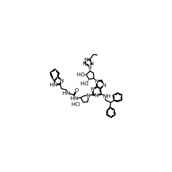 CCc1nnn([C@H]2C[C@@H](n3cnc4c(NCC(c5ccccc5)c5ccccc5)nc(N5CCC(NC(=O)NCCc6nc7ccccc7[nH]6)C5)nc43)[C@H](O)[C@@H]2O)n1.Cl